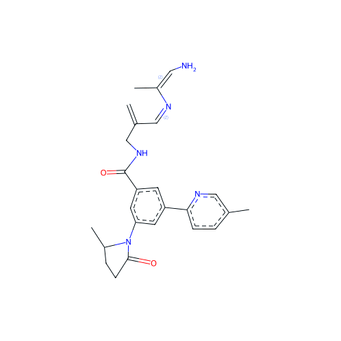 C=C(/C=N\C(C)=C/N)CNC(=O)c1cc(-c2ccc(C)cn2)cc(N2C(=O)CCC2C)c1